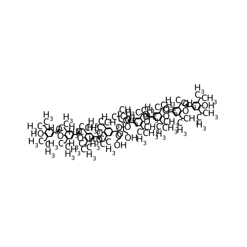 CCC(C)(C)CC(C)C(OC(=O)c1cc(C(C)(C)C)c(OC(=O)c2cc(C(C)(C)C)c(OC(=O)c3cc(C(C)C)c(OC(=O)c4cc(C(C)C)c(O)c(C(C)C)c4)c(C(C)C)c3)c(C(C)(C)C)c2)c(C(C)(C)C)c1)(OC(=O)c1cc(C(C)(C)C)c(OC(=O)c2cc(C(C)(C)C)c(OC(=O)c3cc(C(C)C)c(OC(=O)c4cc(C(C)C)c(O)c(C(C)C)c4)c(C(C)C)c3)c(C(C)(C)C)c2)c(C(C)(C)C)c1)C(CO)OCCO